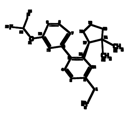 CC(C)Cc1ccc(-c2cccc(OC(F)F)c2)c([C@H]2CCCC2(C)C)c1